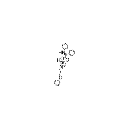 O=C(O[C@H]1C[N+]2(CCCOc3ccccc3)CCC1CC2)[C@H](Nc1ccccc1)c1ccccc1